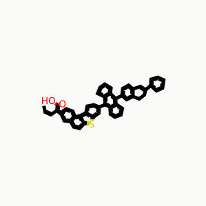 C/C=C\c1c(O)oc2cc3c(ccc4sc5cc(-c6c7ccccc7c(-c7ccc8c(c7)CCC(c7ccccc7)=C8)c7ccccc67)ccc5c43)cc12